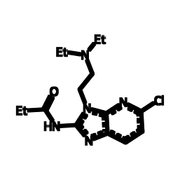 CCC(=O)Nc1nc2ccc(Cl)nc2n1CCN(CC)CC